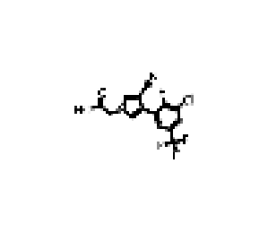 N#Cc1cn(CC(=O)O)cc1-c1cc(C(F)(F)F)cc(Cl)c1F